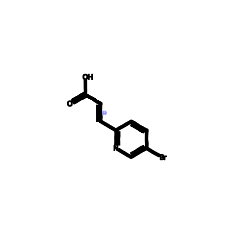 O=C(O)/C=C/c1ccc(Br)cn1